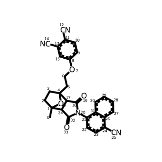 CC12CCC(CCOc3ccc(C#N)c(C#N)c3)(O1)C1C(=O)N(c3ccc(C#N)c4ccccc34)C(=O)C12